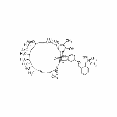 CO[C@H]1/C=C/O[C@@]2(C)Oc3c(C)c(O)c4c(=O)c(c5oc6cc(OCC7C=CC=CC7C[N+](C)(C)C(C)(C)C)ccc6nc-5c4c3C2=O)NC(=O)/C(C)=C\C=C\[C@H](C)[C@H](O)[C@@H](C)[C@@H](C)[C@@H](C)[C@H](OC(C)=O)[C@@H]1C